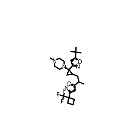 CC(CC1CC1(c1cc(C(C)(C)C)on1)N1CCN(C)CC1)c1cc(C2(C(F)(F)F)CCC2)no1